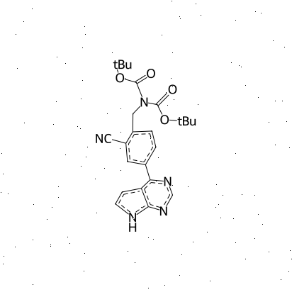 CC(C)(C)OC(=O)N(Cc1ccc(-c2ncnc3[nH]ccc23)cc1C#N)C(=O)OC(C)(C)C